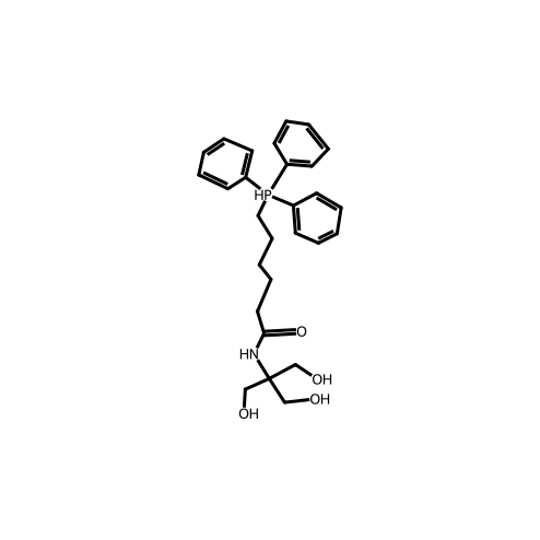 O=C(CCCCC[PH](c1ccccc1)(c1ccccc1)c1ccccc1)NC(CO)(CO)CO